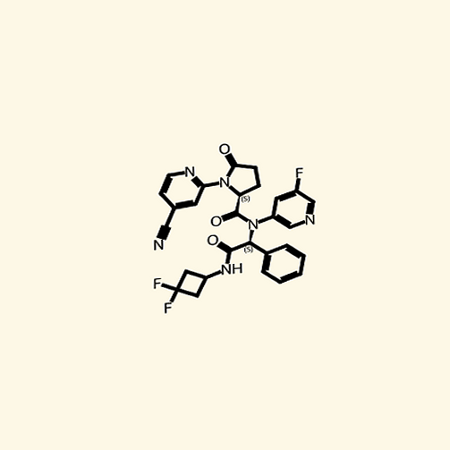 N#Cc1ccnc(N2C(=O)CC[C@H]2C(=O)N(c2cncc(F)c2)[C@H](C(=O)NC2CC(F)(F)C2)c2ccccc2)c1